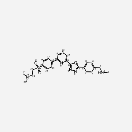 CNCc1ccc(-c2nnc(-c3cncc(-c4ccc(S(=O)(=O)CCN(C)C)cc4)n3)o2)cc1